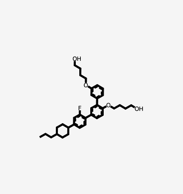 CCCC1CCC(c2ccc(-c3ccc(OCCCCO)c(-c4cccc(OCCCCO)c4)c3)c(F)c2)CC1